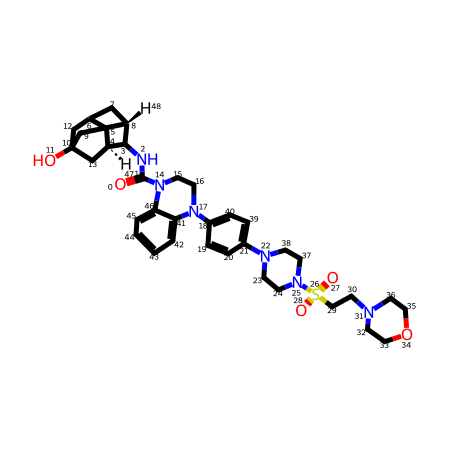 O=C(NC1[C@@H]2CC3C[C@H]1CC(O)(C3)C2)N1CCN(c2ccc(N3CCN(S(=O)(=O)CCN4CCOCC4)CC3)cc2)c2ccccc21